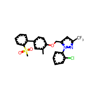 Cc1cc(-c2ccccc2S(C)(=O)=O)ccc1OCc1cc(C(F)(F)F)nn1-c1ccccc1Cl